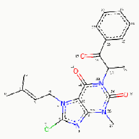 CC(C)=CCn1c(Cl)nc2c1c(=O)n(C(C)C(=O)c1ccccc1)c(=O)n2C